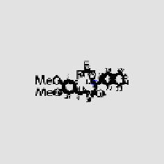 COc1ccc(CCN(C)C(=O)/C(=C/OC(F)F)c2ccc3c(c2)CCCC3)cc1OC